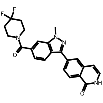 Cn1nc(-c2ccc3c(=O)[nH]ccc3c2)c2ccc(C(=O)N3CCC(F)(F)CC3)cc21